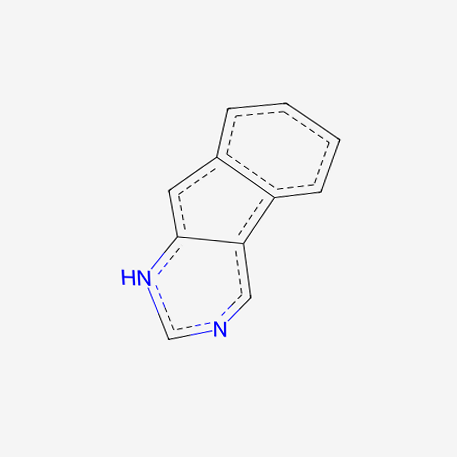 c1ccc2c3cnc[nH]c-3cc2c1